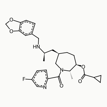 C[C@H](C[C@H]1CC[C@@H](OC(=O)C2CC2)[C@H](C)N(C(=O)c2ccc(F)cn2)C1)NCc1ccc2c(c1)OCO2